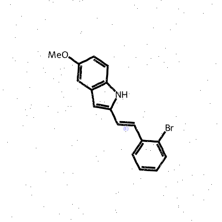 COc1ccc2[nH]c(/C=C/c3ccccc3Br)cc2c1